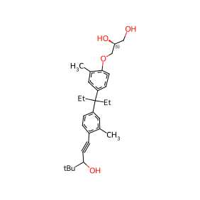 CCC(CC)(c1ccc(C#CC(O)C(C)(C)C)c(C)c1)c1ccc(OC[C@@H](O)CO)c(C)c1